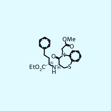 CCOC(=O)[C@H](CCc1ccccc1)N[C@H]1CSc2ccccc2N(CC(=O)OC)C1=O